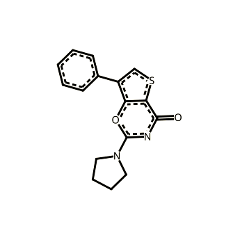 O=c1nc(N2CCCC2)oc2c(-c3ccccc3)csc12